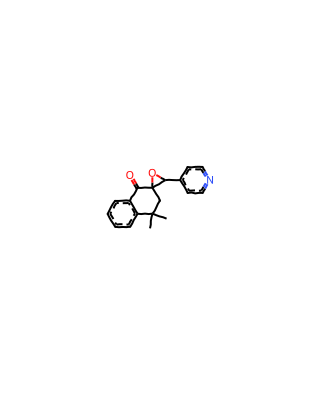 CC1(C)CC2(OC2c2ccncc2)C(=O)c2ccccc21